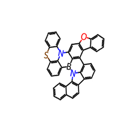 c1ccc2c(c1)Sc1cccc3c1N2c1cc2oc4ccccc4c2c2c1B3n1c3c-2cccc3c2ccc3ccccc3c21